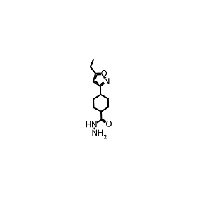 CCc1cc(C2CCC(C(=O)NN)CC2)no1